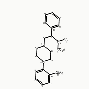 CCN(C(=O)O)C(CN1CCN(c2ccccc2OC)CC1)c1ccccc1